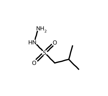 CC(C)CS(=O)(=O)NN